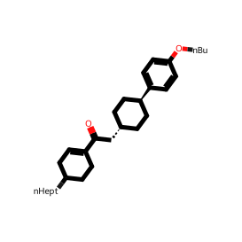 CCCCCCCC1CC=C(C(=O)C[C@H]2CC[C@H](c3ccc(OCCCC)cc3)CC2)CC1